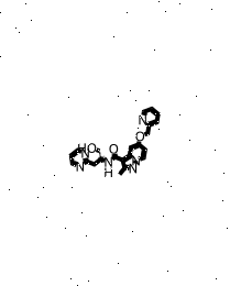 Cc1nn2ccc(OCc3ccccn3)cc2c1C(=O)N[C@@H](CO)Cc1ncccn1